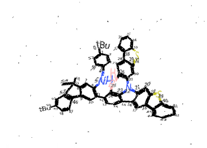 CC(C)(C)c1ccc(Nc2cc3c(cc2-c2ccc4c5cc6c(cc5n5c4c2Bc2cc4c(cc2-5)sc2ccccc24)sc2ccccc26)-c2ccc(C(C)(C)C)cc2C3(C)C)cc1